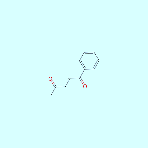 CC(=O)C[CH]C(=O)c1ccccc1